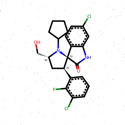 O=C1Nc2cc(Cl)ccc2[C@@]12[C@@H](c1cccc(Cl)c1F)C[C@H](CO)N2C1CCCC1